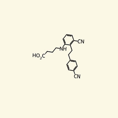 N#Cc1ccc(CCc2c(C#N)cccc2NCCCC(=O)O)cc1